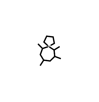 CC1CC(C)C(C)[N+]2(CCCC2)C(C)C1